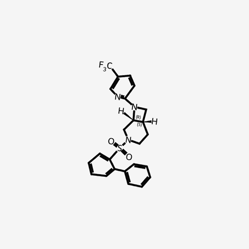 O=S(=O)(c1ccccc1-c1ccccc1)N1CC[C@H]2CN(c3ccc(C(F)(F)F)cn3)[C@H]2C1